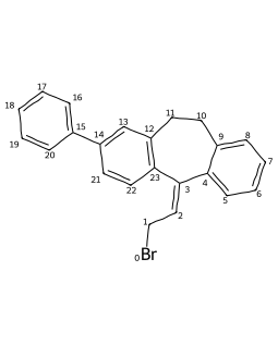 BrCC=C1c2ccccc2CCc2cc(-c3ccccc3)ccc21